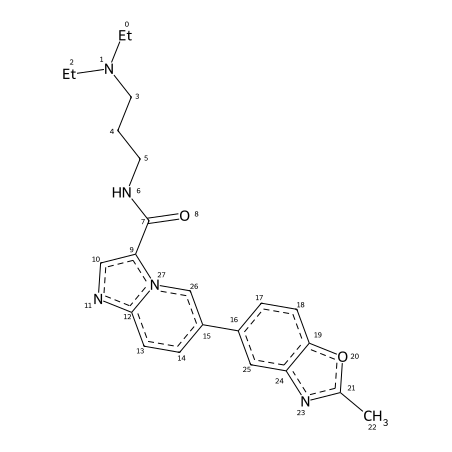 CCN(CC)CCCNC(=O)c1cnc2ccc(-c3ccc4oc(C)nc4c3)cn12